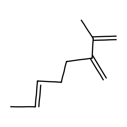 C=C(C)C(=C)CCC=CC